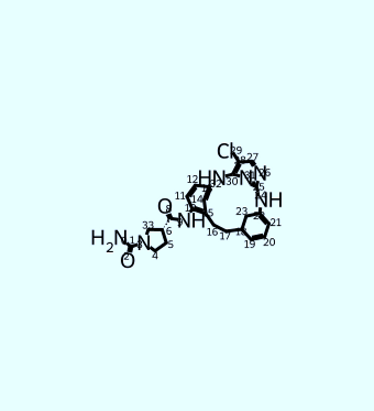 NC(=O)N1CC[C@@H](C(=O)Nc2ccc3cc2CCC2C=CC=C(C2)Nc2ncc(Cl)c(n2)N3)C1